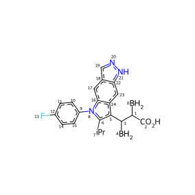 BC(C(=O)O)C(B)c1c(C(C)C)n(-c2ccc(F)cc2)c2cc3cn[nH]c3cc12